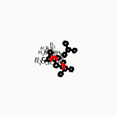 Bc1c(B)c(B)c2c(c1B)c1cc(C(C)(C)C)ccc1n2-c1cc2c3c(c1)N(C1=C(c4ccccc4)CCC=C1c1ccccc1)c1cc(-c4cc(-c5ccccc5)cc(-c5ccccc5)c4)ccc1B3c1ccc(-c3cc(-c4ccccc4)cc(-c4ccccc4)c3)cc1S2